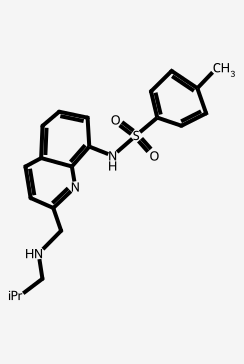 Cc1ccc(S(=O)(=O)Nc2cccc3ccc(CNCC(C)C)nc23)cc1